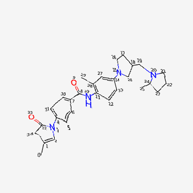 CC1=CN(c2ccc(C(=O)Nc3ccc(N4CCC(CN5CCCC5C)C4)cc3C)cc2)C(=O)C1